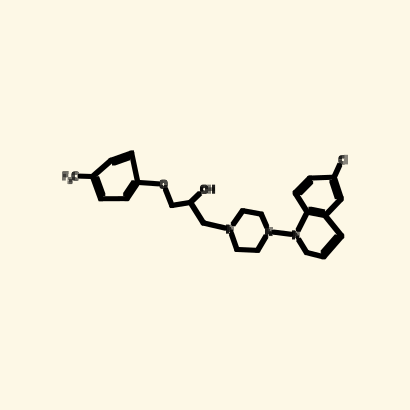 OC(COc1ccc(C(F)(F)F)cc1)CN1CCN(N2CC=Cc3cc(Cl)ccc32)CC1